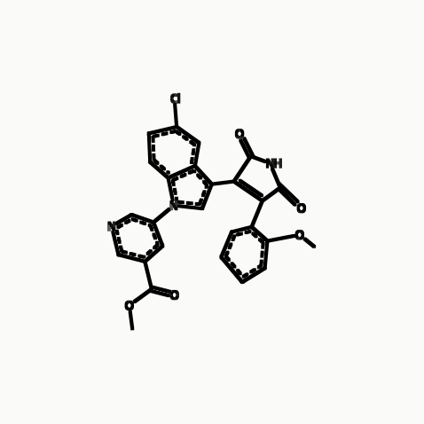 COC(=O)c1cncc(-n2cc(C3=C(c4ccccc4OC)C(=O)NC3=O)c3cc(Cl)ccc32)c1